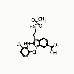 CS(=O)(=O)NCCn1c(Nc2c(Cl)cccc2Cl)nc2cc(C(=O)O)ccc21